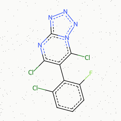 Fc1cccc(Cl)c1-c1c(Cl)nc2nnnn2c1Cl